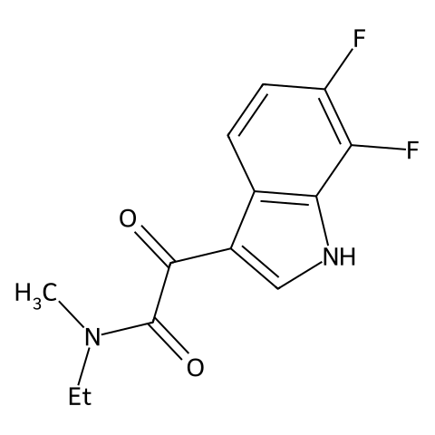 CCN(C)C(=O)C(=O)c1c[nH]c2c(F)c(F)ccc12